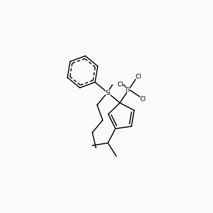 CCCC[Si](C)(c1ccccc1)[C]1([Ti]([Cl])([Cl])[Cl])C=CC(C(C)C)=C1